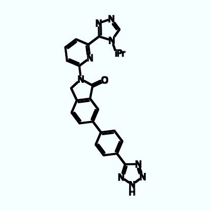 CC(C)n1cnnc1-c1cccc(N2Cc3ccc(-c4ccc(-c5nn[nH]n5)cc4)cc3C2=O)n1